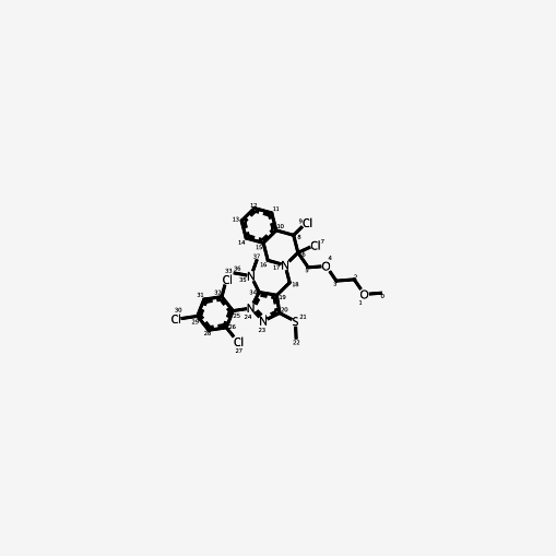 COCCOCC1(Cl)C(Cl)c2ccccc2CN1Cc1c(SC)nn(-c2c(Cl)cc(Cl)cc2Cl)c1N(C)C